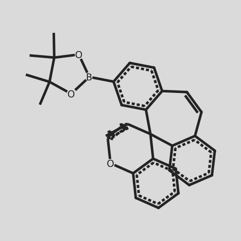 CC1(C)OB(c2ccc3c(c2)C2(c4ccccc4C=C3)c3ccccc3Oc3ccccc32)OC1(C)C